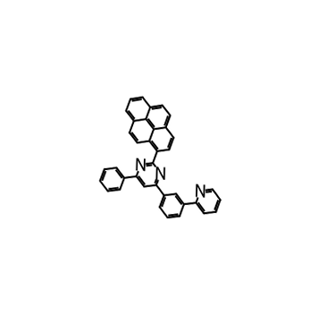 c1ccc(-c2cc(-c3cccc(-c4ccccn4)c3)nc(-c3ccc4ccc5cccc6ccc3c4c56)n2)cc1